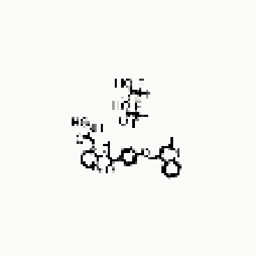 Cc1cc(COc2ccc(C(=O)NC3[C@@H](CC(=O)NO)CCCN3C)cc2)c2ccccc2n1.O=C(O)C(F)(F)F.O=C(O)C(F)(F)F